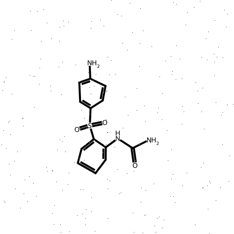 NC(=O)Nc1ccccc1S(=O)(=O)c1ccc(N)cc1